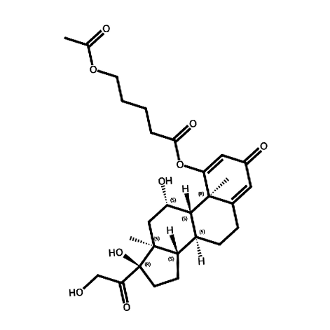 CC(=O)OCCCCC(=O)OC1=CC(=O)C=C2CC[C@@H]3[C@H]([C@@H](O)C[C@@]4(C)[C@H]3CC[C@]4(O)C(=O)CO)[C@]21C